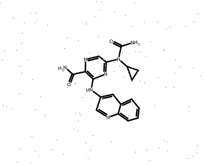 NC(=O)c1ncc(N(C(N)=O)C2CC2)nc1Nc1cnc2ccccc2c1